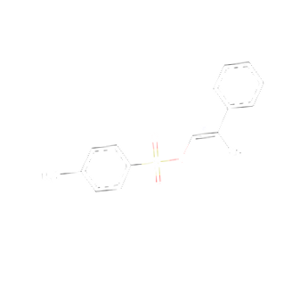 Cc1ccc(S(=O)(=O)O/C=C(\C#N)c2ccccc2)cc1